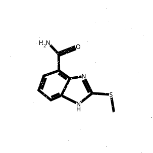 CSc1nc2c(C(N)=O)cccc2[nH]1